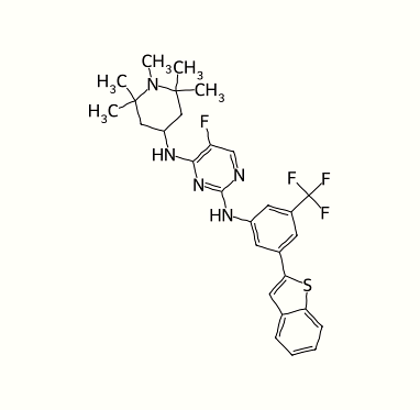 CN1C(C)(C)CC(Nc2nc(Nc3cc(-c4cc5ccccc5s4)cc(C(F)(F)F)c3)ncc2F)CC1(C)C